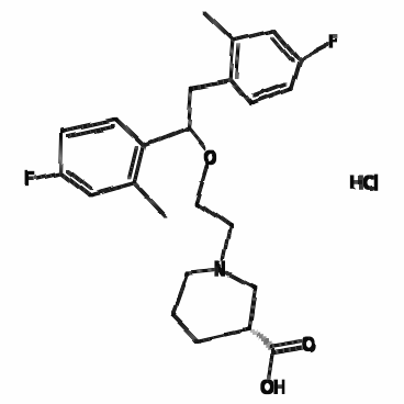 Cc1cc(F)ccc1CC(OCCN1CCC[C@@H](C(=O)O)C1)c1ccc(F)cc1C.Cl